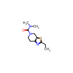 CCc1nc2c(s1)CN(C(=O)N(C)C)CC2